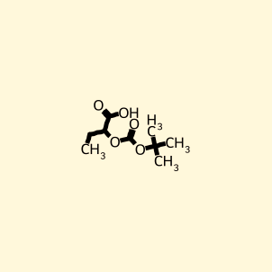 CCC(OC(=O)OC(C)(C)C)C(=O)O